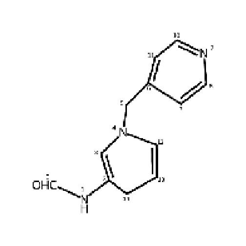 O=CNC1=CN(Cc2ccncc2)C=CC1